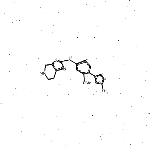 COc1cc(Nc2nc3c(s2)CNCC3)ccc1-n1cnc(C)c1